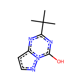 CC(C)(C)c1nc(O)n2nccc2n1